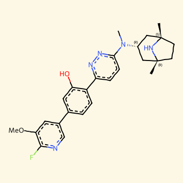 COc1cc(-c2ccc(-c3ccc(N(C)[C@@H]4C[C@]5(C)CC[C@](C)(C4)N5)nn3)c(O)c2)cnc1F